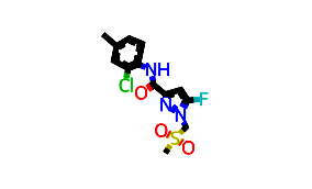 Cc1ccc(NC(=O)c2cc(F)n(CS(C)(=O)=O)n2)c(Cl)c1